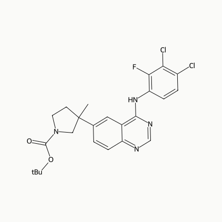 CC(C)(C)OC(=O)N1CCC(C)(c2ccc3ncnc(Nc4ccc(Cl)c(Cl)c4F)c3c2)C1